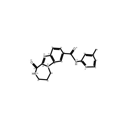 Cc1ccnc(NC(=O)c2ccc3nc4n(c3c2)CCCNC4=O)c1